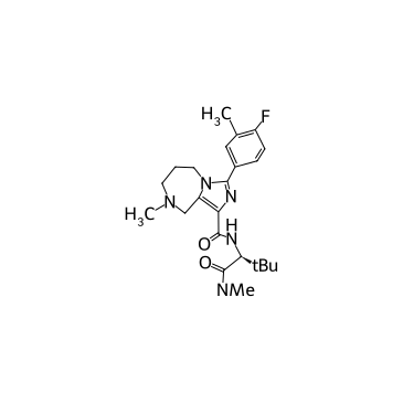 CNC(=O)[C@@H](NC(=O)c1nc(-c2ccc(F)c(C)c2)n2c1CN(C)CCC2)C(C)(C)C